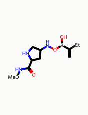 C=C(CC)B(O)ONC1CNC(C(=O)NOC)C1